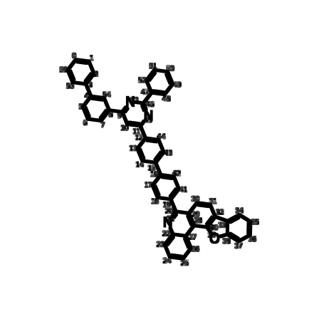 c1ccc(-c2cccc(-c3cc(-c4ccc(-c5ccc(-c6nc7ccccc7c7c6ccc6c8ccccc8oc67)cc5)cc4)nc(-c4ccccc4)n3)c2)cc1